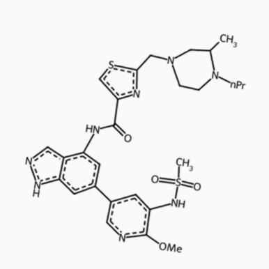 CCCN1CCN(Cc2nc(C(=O)Nc3cc(-c4cnc(OC)c(NS(C)(=O)=O)c4)cc4[nH]ncc34)cs2)CC1C